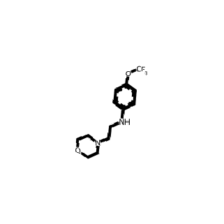 FC(F)(F)Oc1ccc(NCCN2CCOCC2)cc1